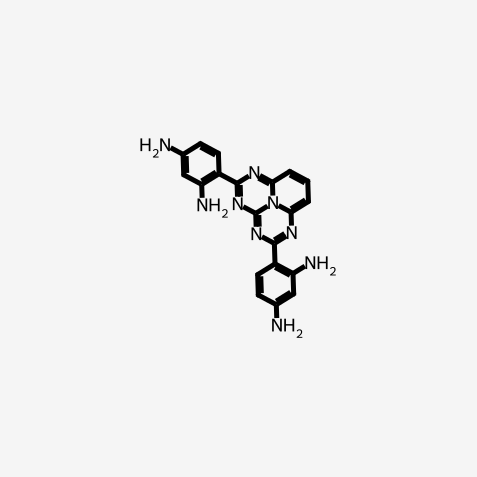 Nc1ccc(C2=NC3=CC=CC4=NC(c5ccc(N)cc5N)=NC(=N2)N34)c(N)c1